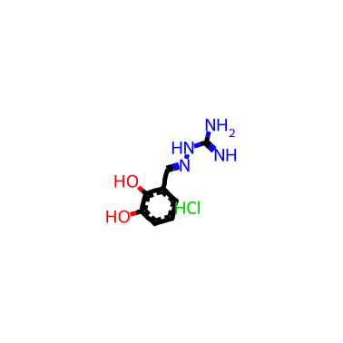 Cl.N=C(N)NN=Cc1cccc(O)c1O